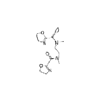 CN(CCN(C)C(=O)C1=NCCO1)C(=O)C1=NCCO1